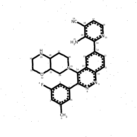 Cc1cc(F)cc(-c2nnc3ccc(-c4nccc(C#N)c4N)cc3c2N2CCC3NCCOC3C2)c1